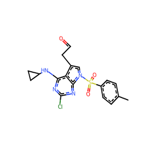 Cc1ccc(S(=O)(=O)n2cc(CC=O)c3c(NC4CC4)nc(Cl)nc32)cc1